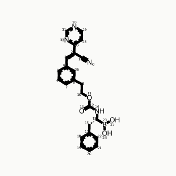 N#CC(=Cc1cccc(CCOC(=O)N[C@@H](Cc2ccccc2)B(O)O)c1)c1ccncn1